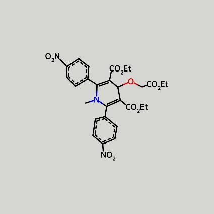 CCOC(=O)COC1C(C(=O)OCC)=C(c2ccc([N+](=O)[O-])cc2)N(C)C(c2ccc([N+](=O)[O-])cc2)=C1C(=O)OCC